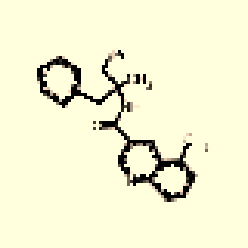 Cc1cccc2ncc(C(=O)NC(C)(Cc3ccccc3)CC(C)C)cc12